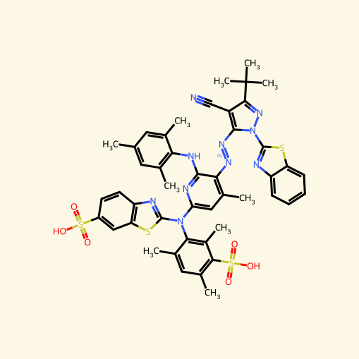 Cc1cc(C)c(Nc2nc(N(c3nc4ccc(S(=O)(=O)O)cc4s3)c3c(C)cc(C)c(S(=O)(=O)O)c3C)cc(C)c2/N=N/c2c(C#N)c(C(C)(C)C)nn2-c2nc3ccccc3s2)c(C)c1